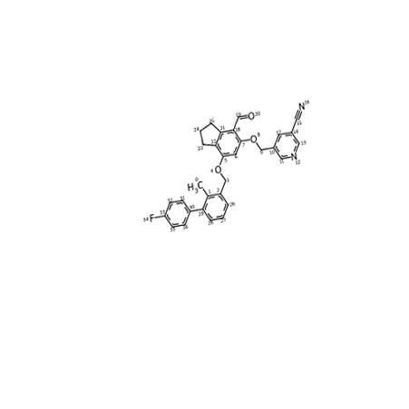 Cc1c(COc2cc(OCc3cncc(C#N)c3)c(C=O)c3c2CCC3)cccc1-c1ccc(F)cc1